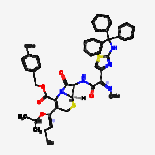 CO/N=C(\C(=O)NC1C(=O)N2C(C(=O)OCc3ccc(OC)cc3)=C(/C(=C/CC(C)(C)C)O[SiH](C)C)CS[C@H]12)c1csc(NC(c2ccccc2)(c2ccccc2)c2ccccc2)n1